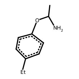 CCc1ccc(OC(C)N)cc1